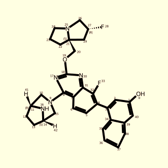 Oc1cc(-c2ccc3c(N4C[C@H]5CC[C@@H](C4)N5)nc(OC[C@@]45CCCN4C[C@H](F)C5)nc3c2F)c2ccccc2c1